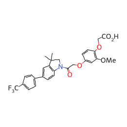 COc1cc(OCC(=O)N2CC(C)(C)c3cc(-c4ccc(C(F)(F)F)cc4)ccc32)ccc1OCC(=O)O